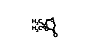 C[Si]1(C)CSCC(=O)O1